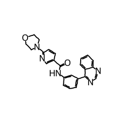 O=C(Nc1cccc(-c2ncnc3ccccc23)c1)c1ccc(N2CCOCC2)nc1